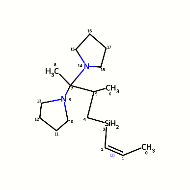 C/C=C\[SiH2]CC(C)C(C)(N1CCCC1)N1CCCC1